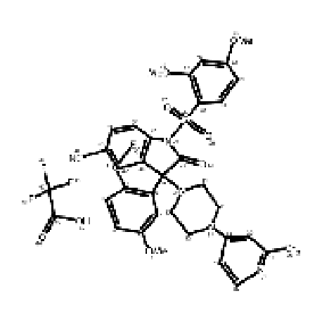 CCOc1ccc(OC)cc1C1(N2CCN(c3ccnc(C(F)(F)F)c3)CC2)C(=O)N(S(=O)(=O)c2ccc(OC)cc2OC)c2ccc(C#N)cc21.O=C(O)C(F)(F)F